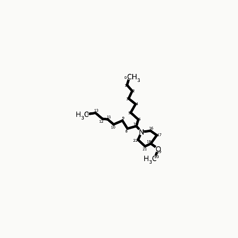 CCCCCCCC(CCCCCCC)N1CCC(OC)CC1